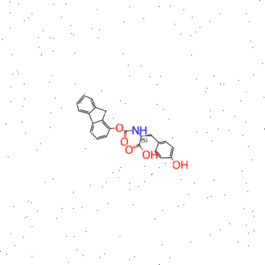 O=C(N[C@@H](Cc1ccc(O)cc1)C(=O)O)Oc1cccc2c1Cc1ccccc1-2